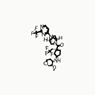 CO[C@@H]1COCC[C@@H]1N[C@@H]1CC[C@](CC(F)(F)F)(C(=O)N2C[C@@H]3C[C@H]2CN3c2ccnc(C(F)(F)F)n2)C1